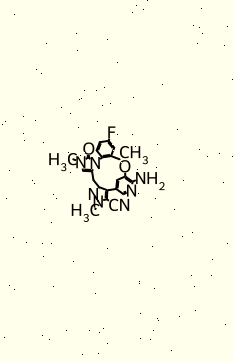 C[C@H]1Oc2cc(cnc2N)-c2c(nn(C)c2C#N)Cc2cn(C)c(=O)n2-c2ccc(F)cc21